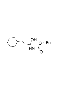 CC(C)(C)OC(=O)NC(O)CCC1CCCCC1